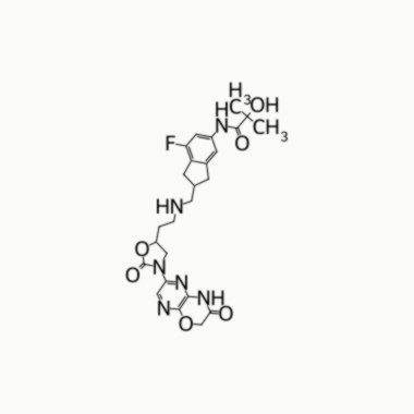 CC(C)(O)C(=O)Nc1cc(F)c2c(c1)CC(CNCCC1CN(c3cnc4c(n3)NC(=O)CO4)C(=O)O1)C2